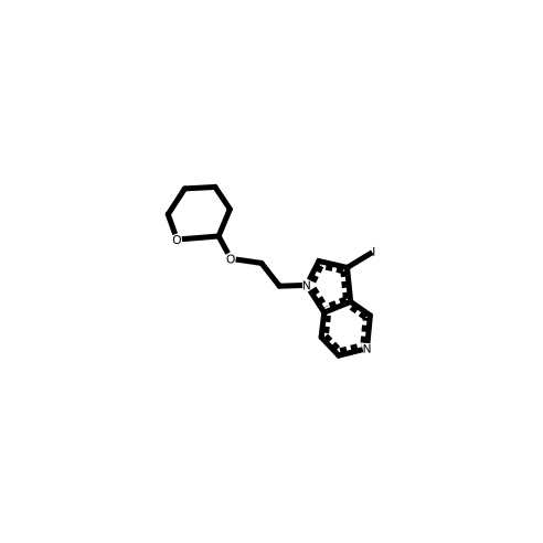 Ic1cn(CCOC2CCCCO2)c2ccncc12